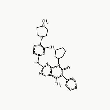 Cc1cc(Nc2ncc3c(C)c(-c4ccccc4)c(=O)n(C4CCCCC4)c3n2)ccc1N1CCN(C)CC1